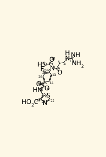 N=C(N)NCCC(=O)N(C(=O)S)c1ccc(S(=O)(=O)Nc2scnc2C(=O)O)cc1F